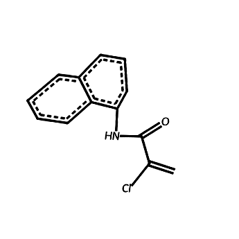 C=C(Cl)C(=O)Nc1cccc2ccccc12